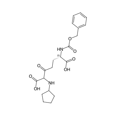 O=C(N[C@@H](CCC(=O)C(NC1CCCC1)C(=O)O)C(=O)O)OCc1ccccc1